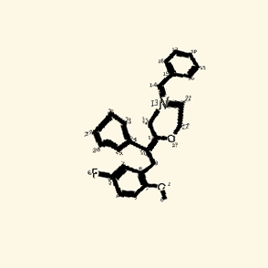 COc1ccc(F)cc1CC(=C1CN(Cc2ccccc2)CCO1)c1ccccc1